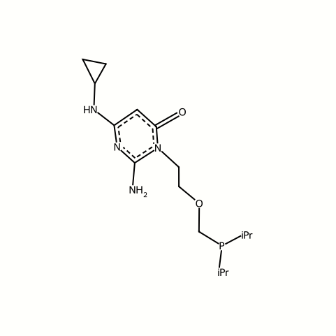 CC(C)P(COCCn1c(N)nc(NC2CC2)cc1=O)C(C)C